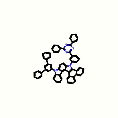 c1ccc(-c2cc(-c3ccccc3)cc(-n3c4ccccc4c4c5c6c7ccccc7c7ccccc7c6n(-c6cccc(-c7nc(-c8ccccc8)nc(-c8ccccc8)n7)c6)c5ccc43)c2)cc1